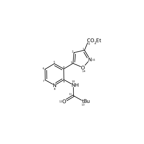 CCOC(=O)c1cc(-c2cccnc2NC(=O)C(C)(C)C)on1